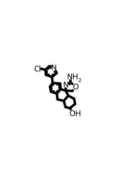 NC1=NC2(CO1)c1cc(-c3cncc(Cl)c3)ccc1CC1CC(O)CCC12